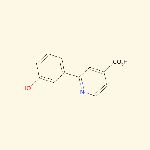 O=C(O)c1ccnc(-c2cccc(O)c2)c1